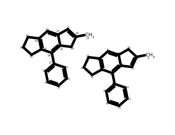 CC1=Cc2c(cc3c(c2-c2ccccc2)CCC3)C1.CC1=Cc2cc3c(c(-c4ccccc4)c2C1)CCC3